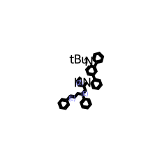 C/C=C\C(/C=C(\C/C=C/c1ccccc1)c1ccccc1)Nc1ccccc1-c1ccc2c(c1)c1ccccc1n2C(C)(C)C